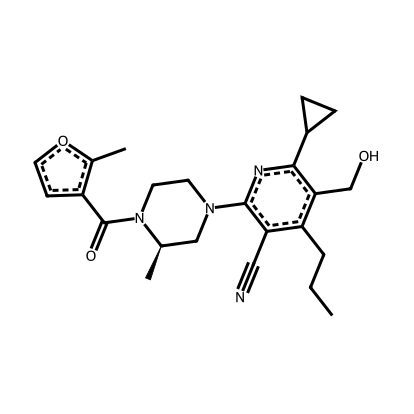 CCCc1c(C#N)c(N2CCN(C(=O)c3ccoc3C)[C@H](C)C2)nc(C2CC2)c1CO